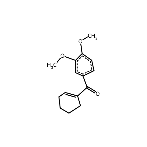 COc1ccc(C(=O)C2=CCCCC2)cc1OC